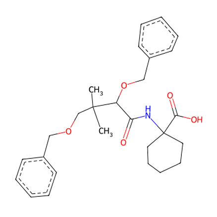 CC(C)(COCc1ccccc1)C(OCc1ccccc1)C(=O)NC1(C(=O)O)CCCCC1